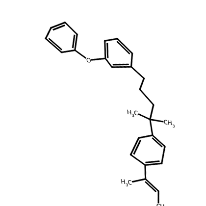 CC=C(C)c1ccc(C(C)(C)CCCc2cccc(Oc3ccccc3)c2)cc1